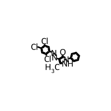 Cc1[nH]n(-c2ccccc2)c(=O)c1N=Nc1cc(Cl)c(Cl)cc1Cl